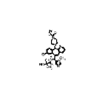 CC(C)OC(=O)N1CCN(C2c3ccc(Cl)cc3C(C(NC(=O)C(C)(C)O)c3cncn3C)=Cc3cccnc32)CC1